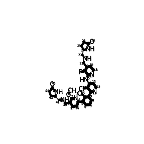 COc1nc(-c2cccc(-c3nccc(Nc4nccc(CNC[C@@H]5CCC(=O)N5)c4F)c3Cl)c2Cl)ccc1CNC[C@@H]1CCC(=O)N1